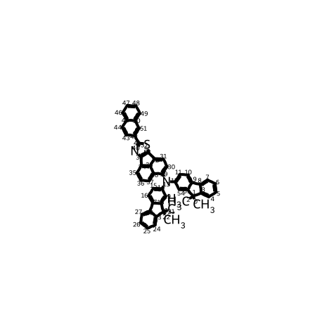 CC1(C)c2ccccc2-c2ccc(N(c3ccc4c(c3)C(C)(C)c3ccccc3-4)c3ccc4c5c(cccc35)-c3nc(-c5ccc6ccccc6c5)sc3-4)cc21